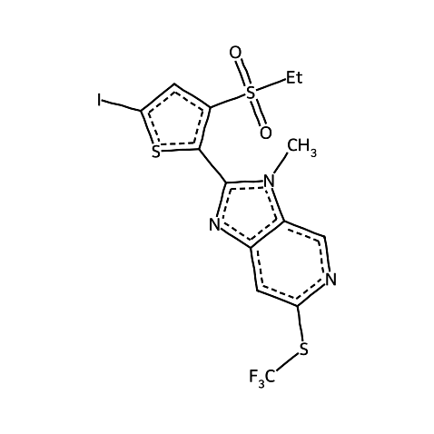 CCS(=O)(=O)c1cc(I)sc1-c1nc2cc(SC(F)(F)F)ncc2n1C